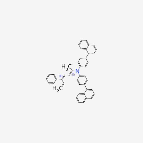 C=C/C(=C\C=C(/C)N(c1ccc(-c2cccc3ccccc23)cc1)c1ccc(-c2cccc3ccccc23)cc1)c1ccccc1